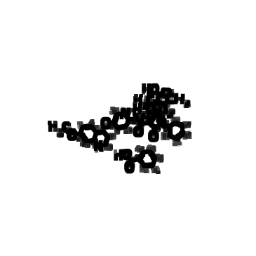 COc1ccc2c(Oc3ccc(NC(=O)c4c(C)n(C[C@@H](C)[C@](C)(N)C(=O)O)n(-c5ccccc5)c4=O)nc3)ccnc2c1.O=C(O)c1ccccc1